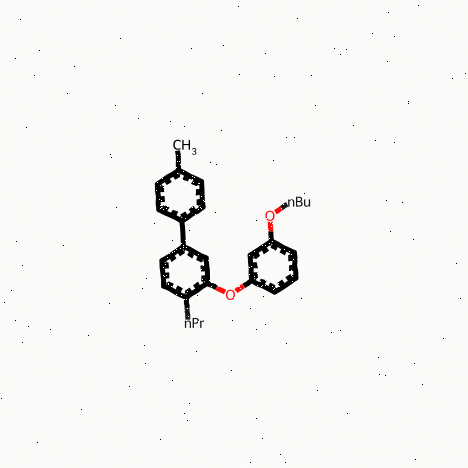 CCCCOc1cccc(Oc2cc(-c3ccc(C)cc3)ccc2CCC)c1